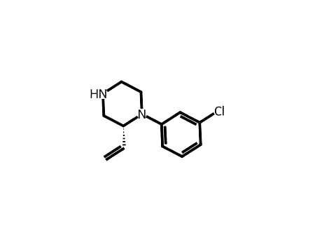 C=C[C@@H]1CNCCN1c1cccc(Cl)c1